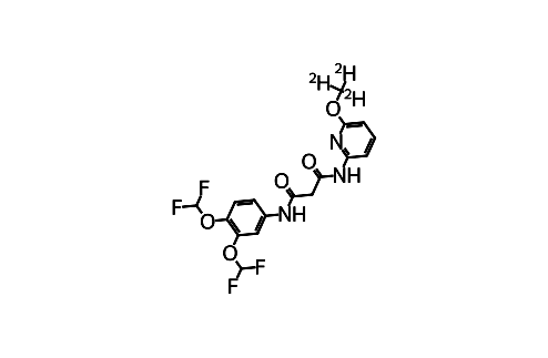 [2H]C([2H])([2H])Oc1cccc(NC(=O)CC(=O)Nc2ccc(OC(F)F)c(OC(F)F)c2)n1